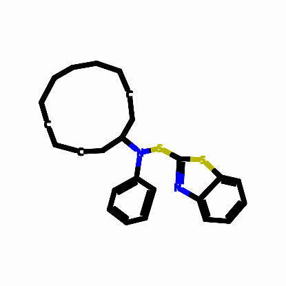 c1ccc(N(Sc2nc3ccccc3s2)C2CCCCCCCCCCC2)cc1